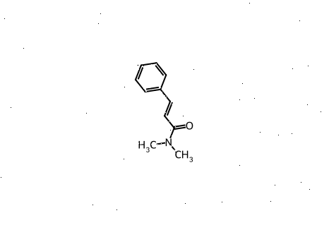 CN(C)C(=O)C=Cc1cc[c]cc1